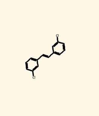 Clc1cccc(/C=C/c2cccc(Cl)c2)c1